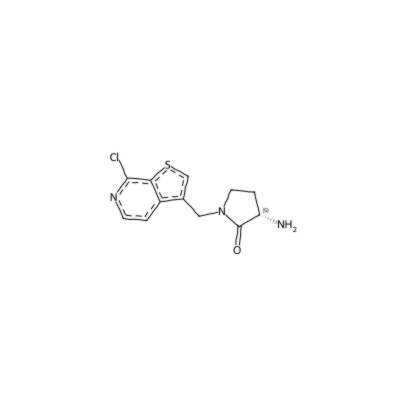 N[C@H]1CCN(Cc2csc3c(Cl)nccc23)C1=O